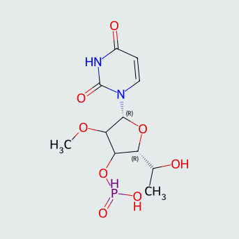 COC1C(O[PH](=O)O)[C@@H](C(C)O)O[C@H]1n1ccc(=O)[nH]c1=O